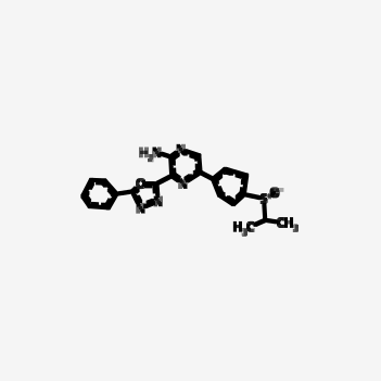 CC(C)[S+]([O-])c1ccc(-c2cnc(N)c(-c3nnc(-c4ccccc4)o3)n2)cc1